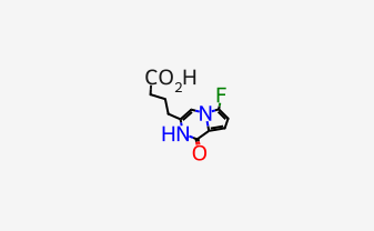 O=C(O)CCCc1cn2c(F)ccc2c(=O)[nH]1